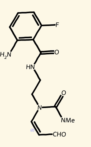 CNC(=O)N(/C=C\C=O)CCNC(=O)c1c(N)cccc1F